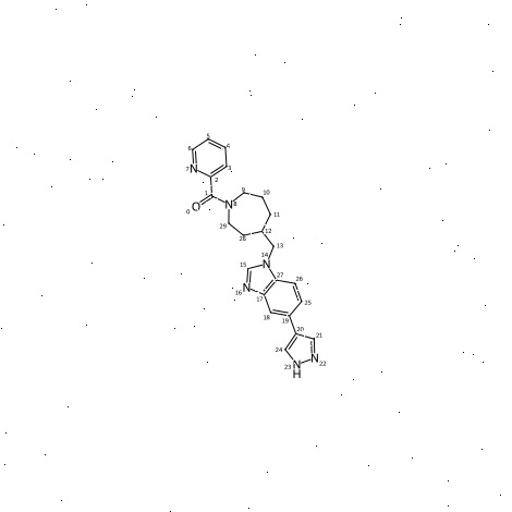 O=C(c1ccccn1)N1CCCC(Cn2cnc3cc(-c4cn[nH]c4)ccc32)CC1